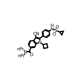 CCCN(CCC)C(=O)c1ccc2c(C#N)c(-c3ccc(NS(=O)(=O)C4CC4)cc3)n(C3CCC3)c2c1